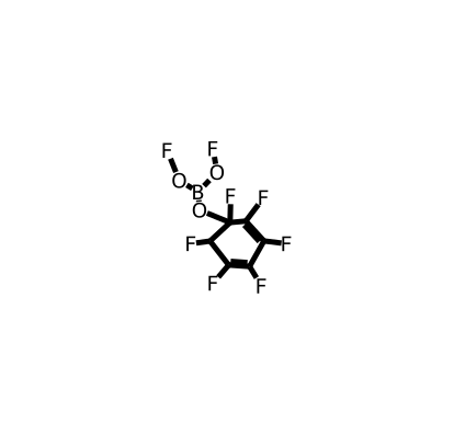 FOB(OF)OC1(F)C(F)=C(F)C(F)=C(F)C1F